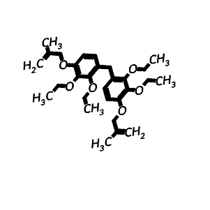 C=C(C)COc1ccc(Cc2ccc(OCC(=C)C)c(OCC)c2OCC)c(OCC)c1OCC